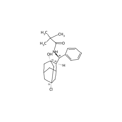 CC(C)(C)C(=O)N[C@@H](c1ccccc1)[C@H]1C2CC3C[C@](Cl)(C2)C[C@@]1(O)C3